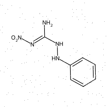 NC(=N[N+](=O)[O-])NNc1ccccc1